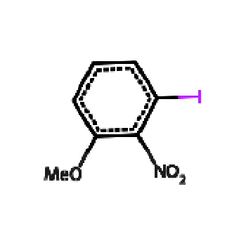 COc1cccc(I)c1[N+](=O)[O-]